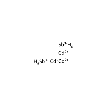 [Cd+2].[Cd+2].[Cd+2].[SbH6-3].[SbH6-3]